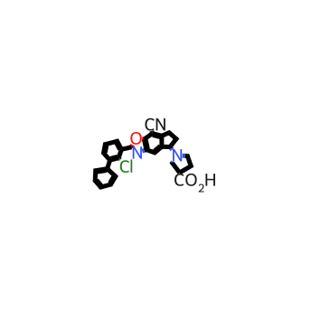 N#Cc1c2c(cc3nc(-c4cccc(-c5ccccc5)c4Cl)oc13)C(N1CCC(C(=O)O)C1)CC2